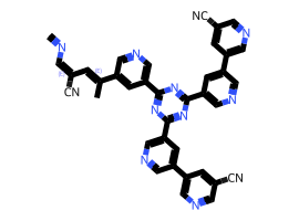 C=N/C=C(C#N)\C=C(/C)c1cncc(-c2nc(-c3cncc(-c4cncc(C#N)c4)c3)nc(-c3cncc(-c4cncc(C#N)c4)c3)n2)c1